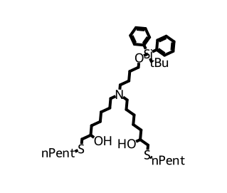 CCCCCSCC(O)CCCCCN(CCCCCC(O)CSCCCCC)CCCCO[Si](c1ccccc1)(c1ccccc1)C(C)(C)C